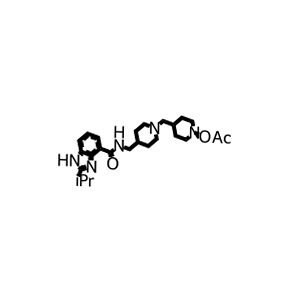 CC(=O)ON1CCC(CN2CCC(CNC(=O)c3cccc4[nH]c(C(C)C)nc34)CC2)CC1